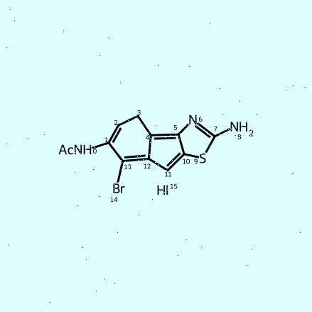 CC(=O)NC1=CCC2=c3nc(N)sc3=CC2=C1Br.I